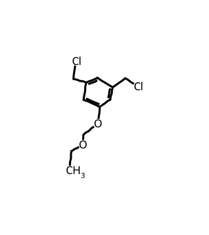 CCOCOc1cc(CCl)cc(CCl)c1